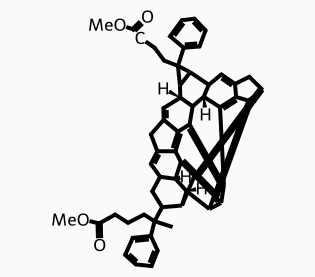 COC(=O)CCCC(C)(c1ccccc1)C1CC2C=C3CC4=C[C@H]5C6c7c4c3c3c4c8c9c%10c(c74)[C@H]6C(C=C%10CC9=CC1[C@@H]8[C@@H]32)C1C5C1(CCCC(=O)OC)c1ccccc1